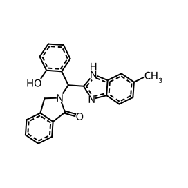 Cc1ccc2nc(C(c3ccccc3O)N3Cc4ccccc4C3=O)[nH]c2c1